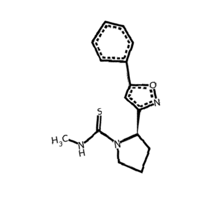 CNC(=S)N1CCC[C@@H]1c1cc(-c2ccccc2)on1